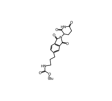 CC(C)(C)OC(=O)NCCCc1ccc2c(c1)C(=O)N(C1CCC(=O)NC1=O)C2=O